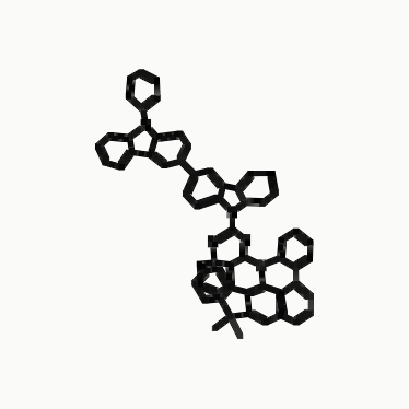 CC1(C)c2ccccc2-c2c(N(c3ccccc3-c3ccccc3)c3nc(-n4c5ccccc5c5cc(-c6ccc7c(c6)c6ccccc6n7-c6ccccc6)ccc54)nc4ccccc34)cccc21